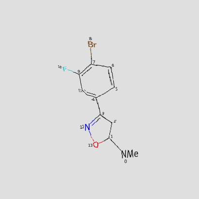 CNC1CC(c2ccc(Br)c(F)c2)=NO1